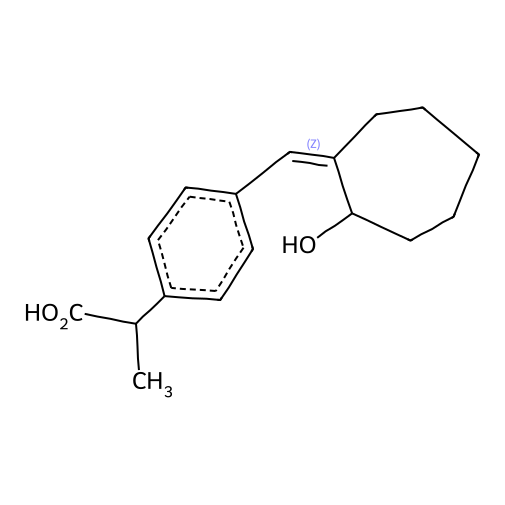 CC(C(=O)O)c1ccc(/C=C2/CCCCCC2O)cc1